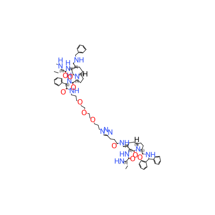 CC[C@H](NC)C(=O)N[C@@H]1C(=O)N2[C@@H](CC[C@@H]1CNC(=O)CCc1cn(CCCOCCOCCOCCCNC(=O)[C@@H](NC(=O)[C@@H]3CC[C@@H]4CC[C@H](CNCc5ccccc5)[C@H](NC(=O)[C@H](CC)NC)C(=O)N43)c3ccccc3)nn1)CC[C@H]2C(=O)NC(c1ccccc1)c1ccccc1